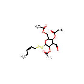 CC/C=C\CSS[C@@H]1OC(COC(C)=O)[C@@H](OC(C)=O)C(C=O)C1OC(C)=O